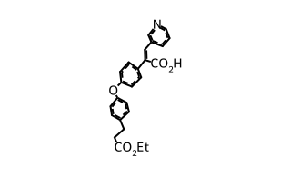 CCOC(=O)CCc1ccc(Oc2ccc(C(=Cc3cccnc3)C(=O)O)cc2)cc1